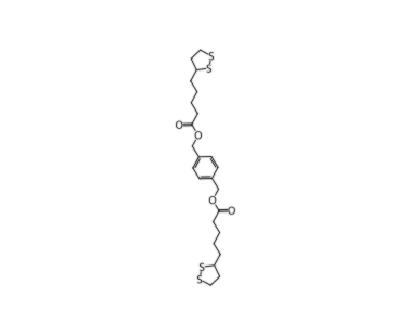 O=C(CCCCC1CCSS1)OCc1ccc(COC(=O)CCCCC2CCSS2)cc1